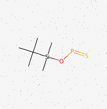 CC(C)(C)[Si](C)(C)OP=S